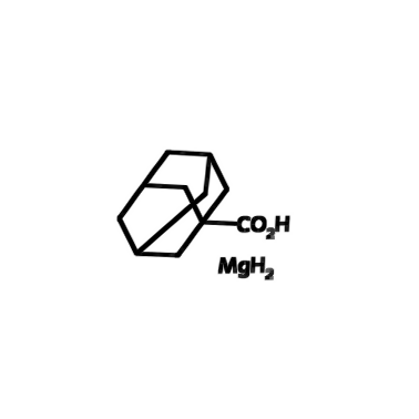 O=C(O)C12CC3CC(CC(C3)C1)C2.[MgH2]